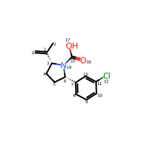 C=C(C)[C@H]1CC[C@@H](c2cccc(Cl)c2)N1C(=O)O